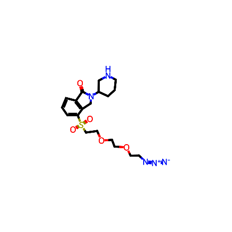 [N-]=[N+]=NCCOCCOCCS(=O)(=O)c1cccc2c1CN(C1CCCNC1)C2=O